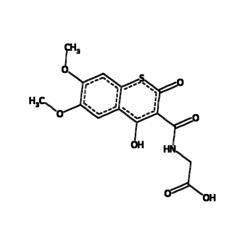 COc1cc2sc(=O)c(C(=O)NCC(=O)O)c(O)c2cc1OC